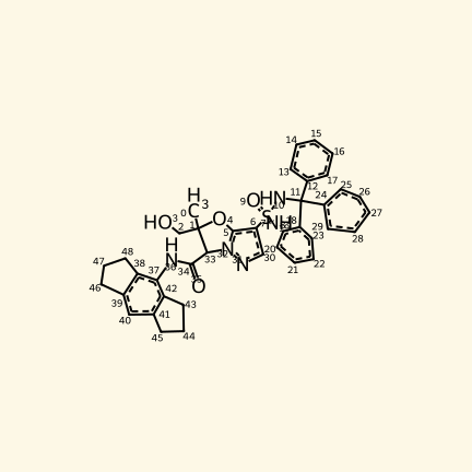 CC1(CO)Oc2c(S(=N)(=O)NC(c3ccccc3)(c3ccccc3)c3ccccc3)cnn2C1C(=O)Nc1c2c(cc3c1CCC3)CCC2